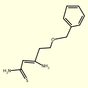 NC(=S)C=C(N)CCOCc1ccccc1